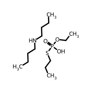 CCCCNCCCC.CCCSP(=O)(O)OCC